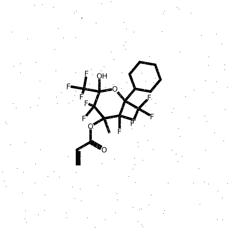 C=CC(=O)OC1(C)C(F)(F)C(O)(C(F)(F)F)OC(C2CCCCC2)(C(F)(F)F)C1(F)F